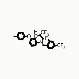 Cc1ccc(Oc2cccc(N(Cc3ccc(C(F)(F)F)cc3F)CC(O)C(F)(F)F)c2)cc1